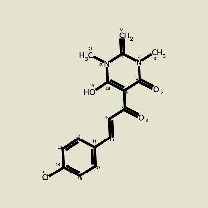 C=C1N(C)C(=O)C(C(=O)/C=C/c2ccc(Cl)cc2)=C(O)N1C